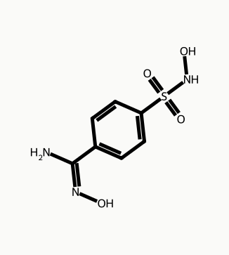 N/C(=N/O)c1ccc(S(=O)(=O)NO)cc1